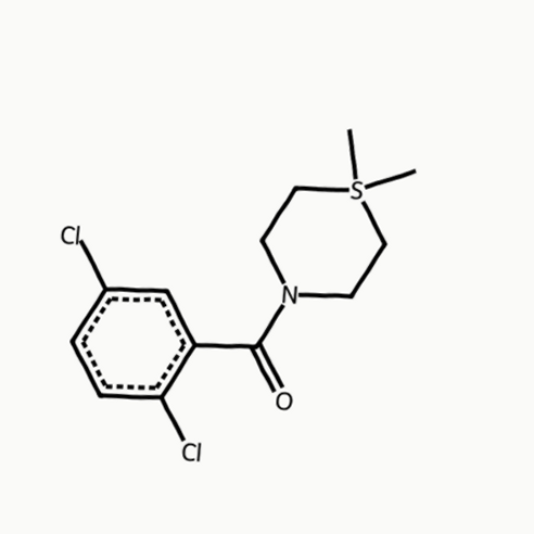 CS1(C)CCN(C(=O)c2cc(Cl)ccc2Cl)CC1